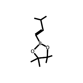 CC(C)C=CB1OC(C)(C)C(C)(C)O1